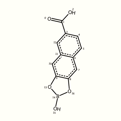 O=C(O)c1ccc2cc3c(cc2c1)OB(O)O3